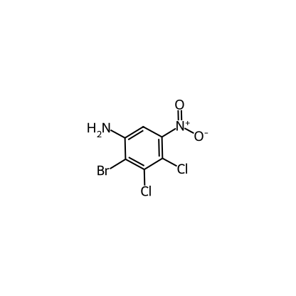 Nc1cc([N+](=O)[O-])c(Cl)c(Cl)c1Br